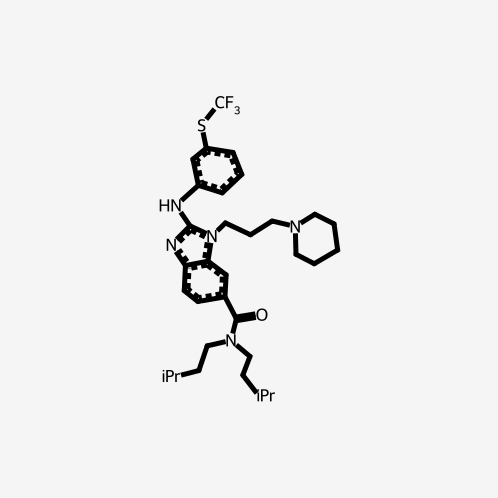 CC(C)CCN(CCC(C)C)C(=O)c1ccc2nc(Nc3cccc(SC(F)(F)F)c3)n(CCCN3CCCCC3)c2c1